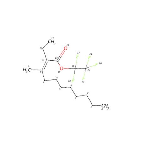 CCCCCCCCC(C)=C(CC)C(=O)OC(F)(F)C(F)(F)F